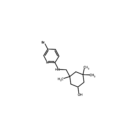 CC1(C)CC(O)CC(C)(CNc2ccc(Br)cn2)C1